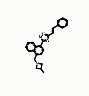 CC1CN(Cc2ccc(-c3noc(/C=C/c4ccccc4)n3)c3ccccc23)C1